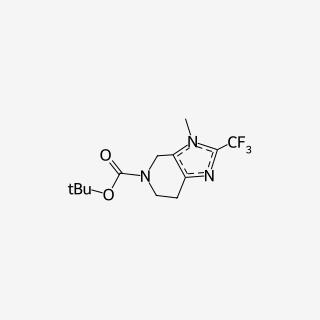 Cn1c(C(F)(F)F)nc2c1CN(C(=O)OC(C)(C)C)CC2